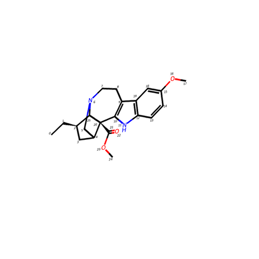 CC[C@@H]1CC2CN3CCc4c([nH]c5ccc(OC)cc45)[C@@]2(C(=O)OC)C13